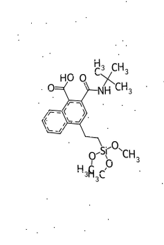 CO[Si](CCc1cc(C(=O)NC(C)(C)C)c(C(=O)O)c2ccccc12)(OC)OC